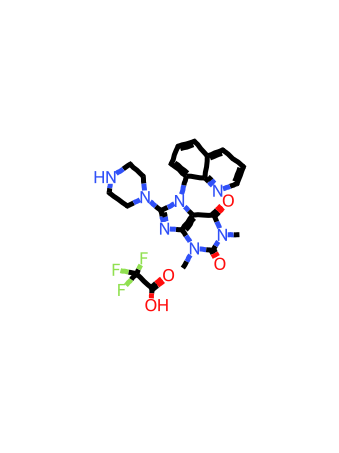 Cn1c(=O)c2c(nc(N3CCNCC3)n2-c2cccc3cccnc23)n(C)c1=O.O=C(O)C(F)(F)F